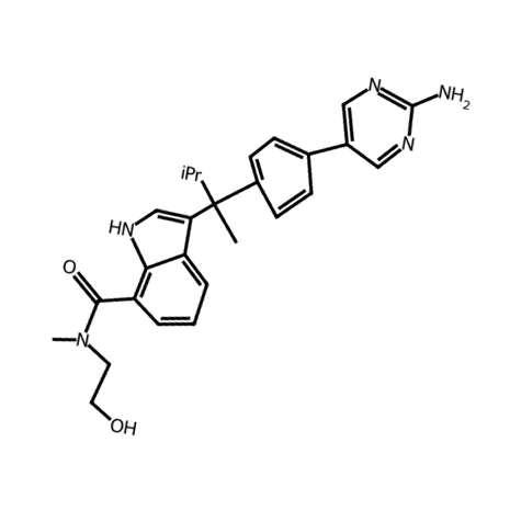 CC(C)C(C)(c1ccc(-c2cnc(N)nc2)cc1)c1c[nH]c2c(C(=O)N(C)CCO)cccc12